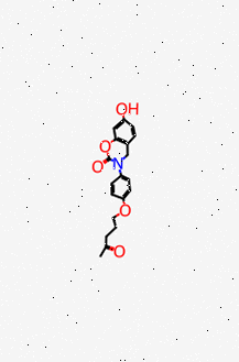 CC(=O)CCCOc1ccc(N2Cc3ccc(O)cc3OC2=O)cc1